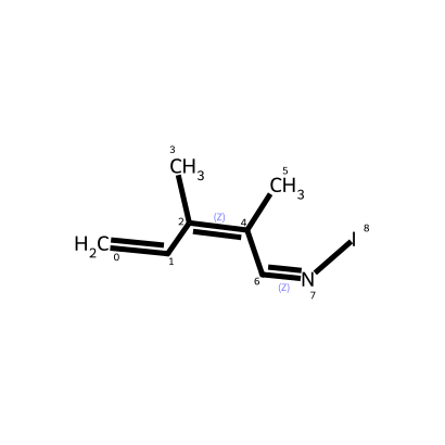 C=C/C(C)=C(C)\C=N/I